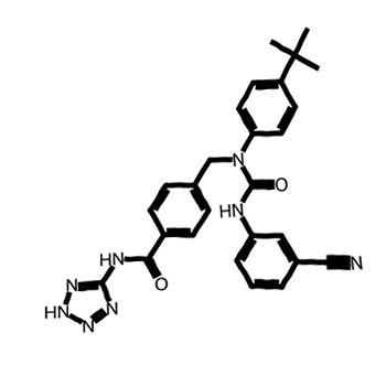 CC(C)(C)c1ccc(N(Cc2ccc(C(=O)Nc3nn[nH]n3)cc2)C(=O)Nc2cccc(C#N)c2)cc1